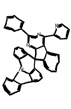 c1ccc(-c2nc(-c3ccccn3)c3c(n2)C2(c4ccccc4-3)c3ccccc3-n3c4ccccc4c4cccc2c43)cc1